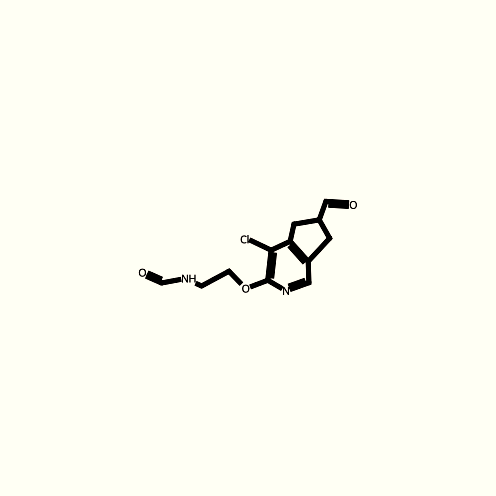 O=CNCCOc1ncc2c(c1Cl)CC(C=O)C2